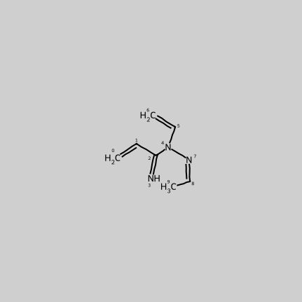 C=CC(=N)N(C=C)/N=C\C